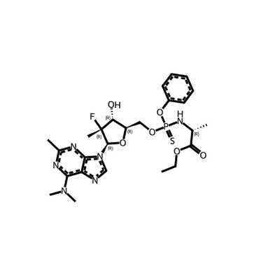 CCOC(=O)[C@@H](C)NP(=S)(OC[C@H]1O[C@@H](n2cnc3c(N(C)C)nc(C)nc32)[C@](C)(F)[C@@H]1O)Oc1ccccc1